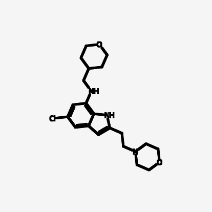 Clc1cc(NCC2CCOCC2)c2[nH]c(CCN3CCOCC3)cc2c1